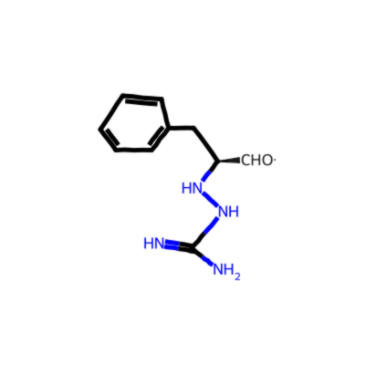 N=C(N)NN[C@H]([C]=O)Cc1ccccc1